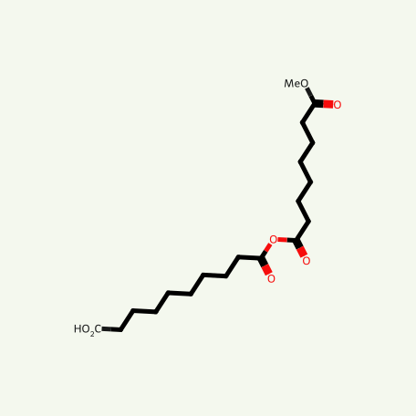 COC(=O)CCCCCCC(=O)OC(=O)CCCCCCCCC(=O)O